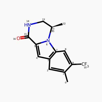 Cc1cc2cc3n(c2cc1C(F)(F)F)[C@H](C)CNC3=O